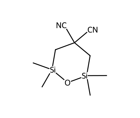 C[Si]1(C)CC(C#N)(C#N)C[Si](C)(C)O1